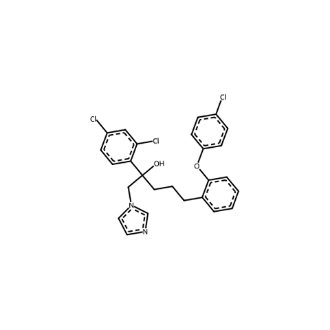 OC(CCCc1ccccc1Oc1ccc(Cl)cc1)(Cn1ccnc1)c1ccc(Cl)cc1Cl